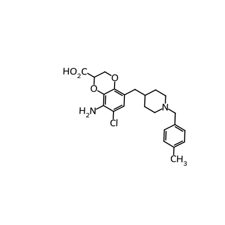 Cc1ccc(CN2CCC(Cc3cc(Cl)c(N)c4c3OCC(C(=O)O)O4)CC2)cc1